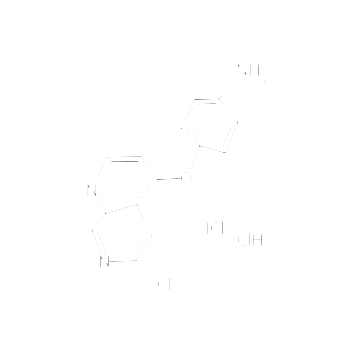 Cl.Cl.Nc1ccc(Oc2ccnc3cnc(Cl)cc23)cc1